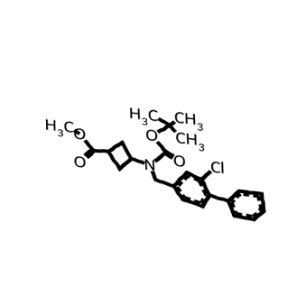 COC(=O)C1CC(N(Cc2ccc(-c3ccccc3)c(Cl)c2)C(=O)OC(C)(C)C)C1